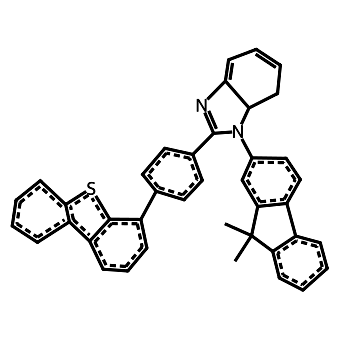 CC1(C)c2ccccc2-c2ccc(N3C(c4ccc(-c5cccc6c5sc5ccccc56)cc4)=NC4=CC=CCC43)cc21